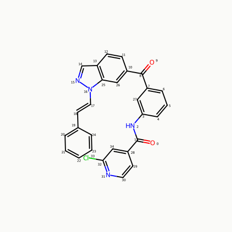 O=C(Nc1cccc(C(=O)c2ccc3cnn(C=Cc4ccccc4)c3c2)c1)c1ccnc(Cl)c1